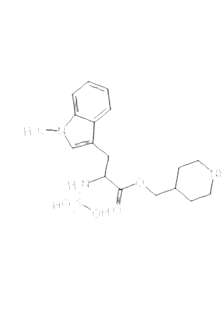 Cn1cc(CC(N)C(=O)OCC2CCNCC2)c2ccccc21.O=S(=O)(O)O